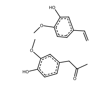 C=Cc1ccc(OC)c(O)c1.COc1cc(CC(C)=O)ccc1O